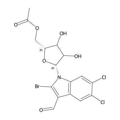 CC(=O)OC[C@H]1O[C@@H](n2c(Br)c(C=O)c3cc(Cl)c(Cl)cc32)C(O)C1O